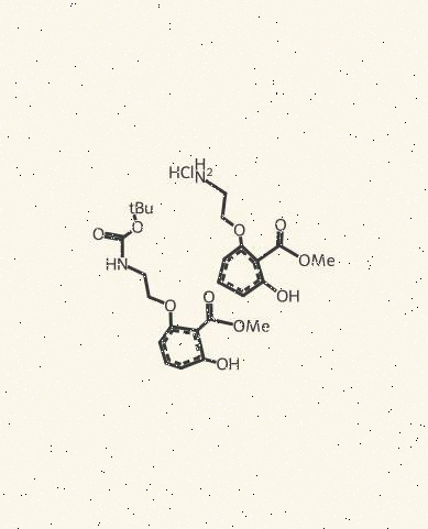 COC(=O)c1c(O)cccc1OCCN.COC(=O)c1c(O)cccc1OCCNC(=O)OC(C)(C)C.Cl